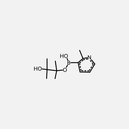 Cc1ncccc1B(O)OC(C)(C)C(C)(C)O